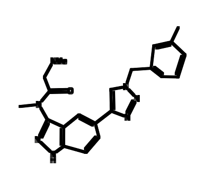 CNCC(=O)N(C)c1n[nH]c2ccc(-c3cn(Cc4cccc(C)c4)nn3)cc12